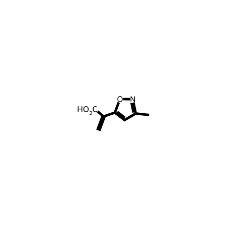 C=C(C(=O)O)c1cc(C)no1